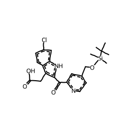 CC(C)(C)[Si](C)(C)OCc1ccnc(C(=O)c2[nH]c3cc(Cl)ccc3c2CC(=O)O)c1